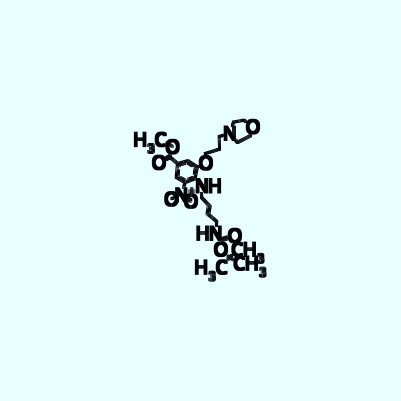 COC(=O)c1cc(OCCCN2CCOCC2)c(NCC=CCNC(=O)OC(C)(C)C)c([N+](=O)[O-])c1